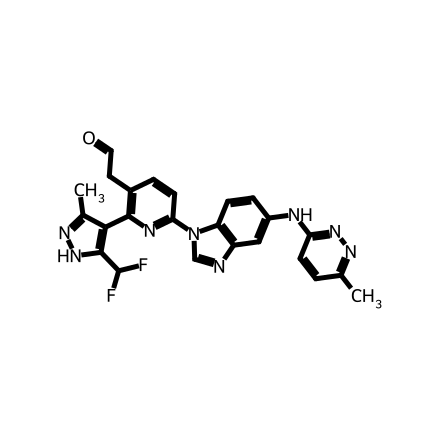 Cc1ccc(Nc2ccc3c(c2)ncn3-c2ccc(CC=O)c(-c3c(C)n[nH]c3C(F)F)n2)nn1